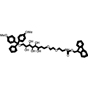 COc1ccc(C(OC[C@@H](O)[C@H](O)[C@H](O)[C@@H](O)C(O)CCOCCOCCNC(=O)OCC2c3ccccc3-c3ccccc32)(c2ccccc2)c2ccc(OC)cc2)cc1